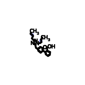 C/C=C/Cc1nc(Cc2ccc(-c3ccccc3C(=O)O)cc2)n(C/C=C/C)n1